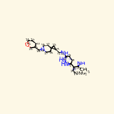 CN/C=C(\C(C)=N)C(=N)/C=C\C(=N)NCC1CC12CCN(CC1CCCOC1)CC2